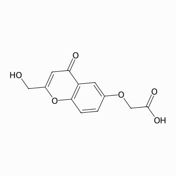 O=C(O)COc1ccc2oc(CO)cc(=O)c2c1